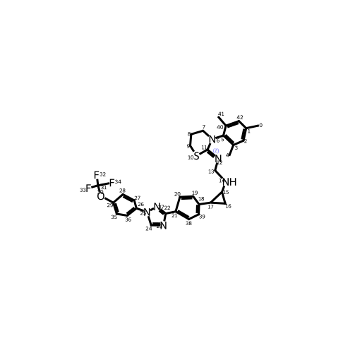 Cc1cc(C)c(N2CCCS/C2=N\CNC2CC2c2ccc(-c3ncn(-c4ccc(OC(F)(F)F)cc4)n3)cc2)c(C)c1